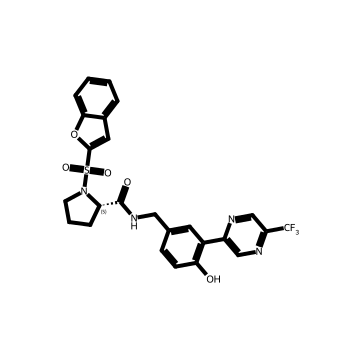 O=C(NCc1ccc(O)c(-c2cnc(C(F)(F)F)cn2)c1)[C@@H]1CCCN1S(=O)(=O)c1cc2ccccc2o1